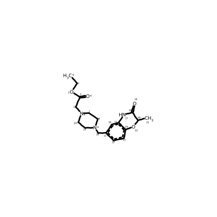 CCOC(=O)CN1CCN(Cc2ccc3c(c2)NC(=O)C(C)O3)CC1